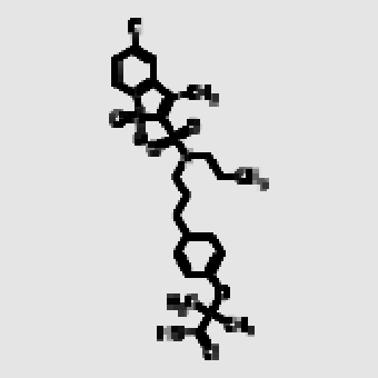 CCCN(CCCc1ccc(OC(C)(C)C(=O)O)cc1)S(=O)(=O)C1=C(C)c2cc(Cl)ccc2S1(=O)=O